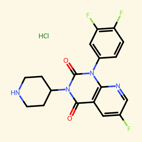 Cl.O=c1c2cc(F)cnc2n(-c2ccc(F)c(F)c2)c(=O)n1C1CCNCC1